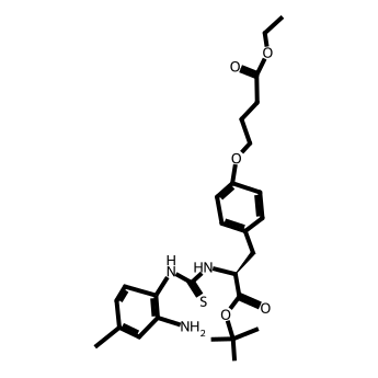 CCOC(=O)CCCOc1ccc(C[C@H](NC(=S)Nc2ccc(C)cc2N)C(=O)OC(C)(C)C)cc1